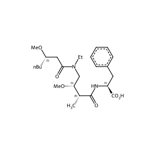 CCCC[C@@H](CC(=O)N(CC)C[C@@H](OC)[C@@H](C)C(=O)N[C@@H](Cc1ccccc1)C(=O)O)OC